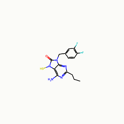 CCCc1nc(N)c2c(n1)n(Cc1ccc(F)c(F)c1)c(=O)n2S